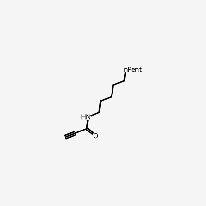 C#CC(=O)NCCCCCCCCCC